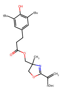 C=C(CCCCCCCCCC)C1=NC(C)(COC(=O)CCc2cc(C(C)(C)C)c(O)c(C(C)(C)C)c2)CO1